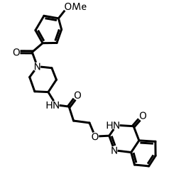 COc1ccc(C(=O)N2CCC(NC(=O)CCOc3nc4ccccc4c(=O)[nH]3)CC2)cc1